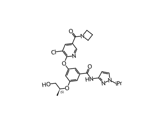 CC(C)n1ccc(NC(=O)c2cc(Oc3ncc(C(=O)N4CCC4)cc3Cl)cc(O[C@@H](C)CO)c2)n1